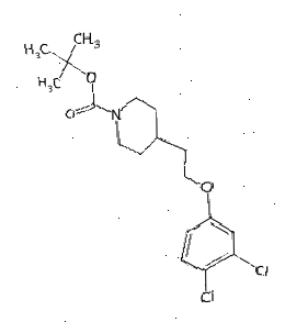 CC(C)(C)OC(=O)N1CCC(CCOc2ccc(Cl)c(Cl)c2)CC1